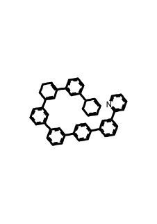 C1=CCC(c2cccc(C3=CCCC(c4cccc(-c5cccc(-c6ccc(-c7cccc(-c8ccccn8)c7)cc6)c5)c4)=C3)c2)C=C1